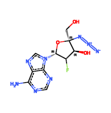 [N-]=[N+]=N[C@]1(CO)O[C@@H](n2cnc3c(N)ncnc32)C(F)[C@@H]1O